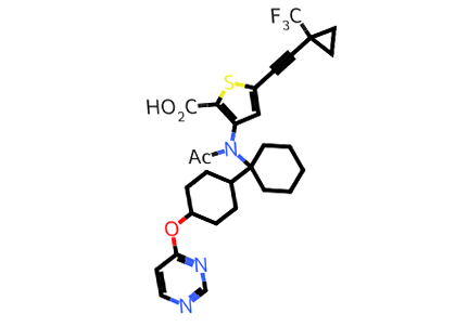 CC(=O)N(c1cc(C#CC2(C(F)(F)F)CC2)sc1C(=O)O)C1(C2CCC(Oc3ccncn3)CC2)CCCCC1